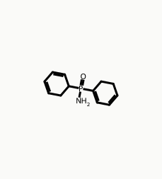 NP(=O)(C1=CC=CCC1)C1C=CC=CC1